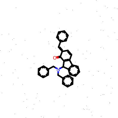 O=C1C(=Cc2ccccc2)C=CC2=C1C(N(Cc1ccccc1)Cc1ccccc1)c1ccccc12